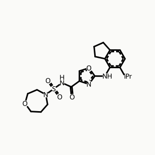 CC(C)c1ccc2c(c1Nc1nc(C(=O)NS(=O)(=O)N3CCCOCC3)co1)CCC2